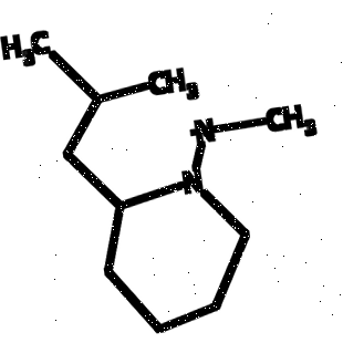 C[N]N1CCCCC1CC(C)C